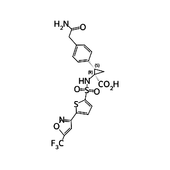 NC(=O)Cc1ccc([C@@H]2C[C@]2(NS(=O)(=O)c2ccc(-c3cc(C(F)(F)F)on3)s2)C(=O)O)cc1